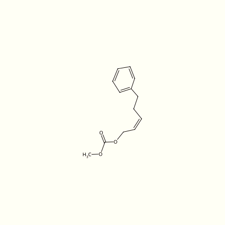 COC(=O)OC/C=C\CCc1ccccc1